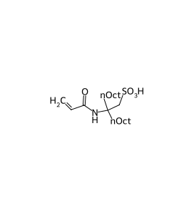 C=CC(=O)NC(CCCCCCCC)(CCCCCCCC)CS(=O)(=O)O